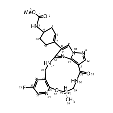 COC(=O)NC1CC=C(c2cn3ncc4c3nc2NCc2cc(F)cnc2O[Si@@H](C)CNC4=O)CC1